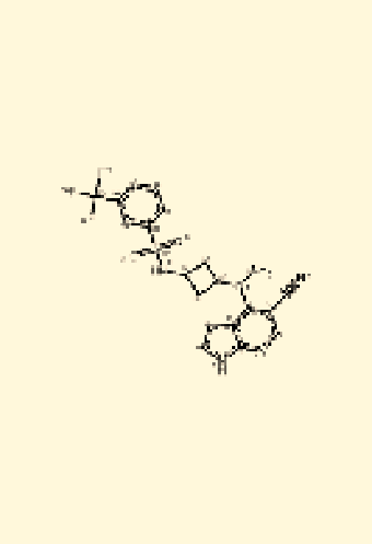 CN(c1c(C#N)cnc2[nH]ccc12)C1CC(NS(=O)(=O)c2cccc(C(F)(F)F)c2)C1